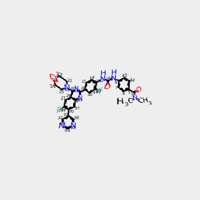 CN(C)C(=O)c1ccc(NC(=O)Nc2ccc(-c3nc(N4CCOCC4)c4cc(F)c(-c5cncnc5)cc4n3)cc2F)cc1